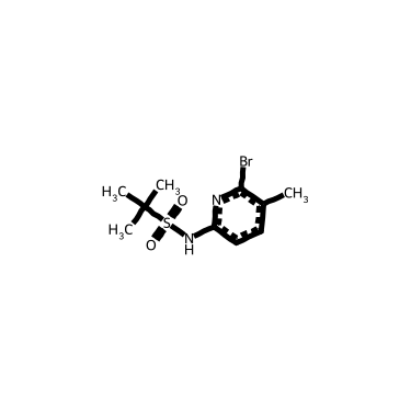 Cc1ccc(NS(=O)(=O)C(C)(C)C)nc1Br